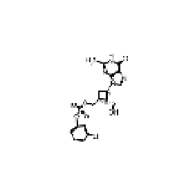 Nc1nc2c(ncn2[C@@H]2C[C@H](COP(=O)(O)Oc3cccc(Cl)c3)[C@H]2CO)c(=O)[nH]1